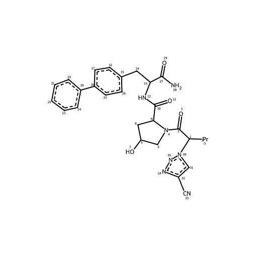 CC(C)C(C(=O)N1CC(O)CC1C(=O)NC(Cc1ccc(-c2ccccc2)cc1)C(N)=O)n1cc(C#N)nn1